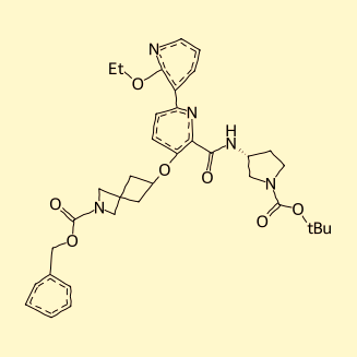 CCOc1ncccc1-c1ccc(OC2CC3(C2)CN(C(=O)OCc2ccccc2)C3)c(C(=O)N[C@@H]2CCN(C(=O)OC(C)(C)C)C2)n1